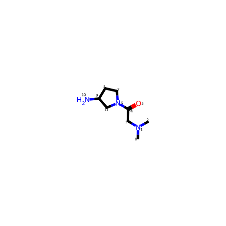 CN(C)CC(=O)N1CCC(N)C1